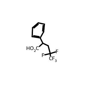 O=C(O)C(CC(F)(F)C(F)(F)F)c1ccccc1